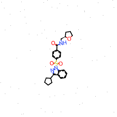 O=C(NC[C@H]1CCCO1)c1ccc(S(=O)(=O)n2nc(C3CCCC3)c3ccccc32)cc1